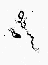 CCCCCCCCOc1ccc(C(=O)c2ccccc2)c(O)c1.c1ccc2[nH]nnc2c1